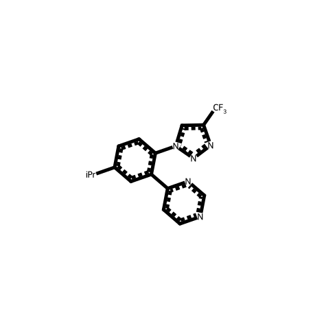 CC(C)c1ccc(-n2cc(C(F)(F)F)nn2)c(-c2ccncn2)c1